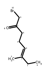 CCC(C)=CCCC(=O)CBr